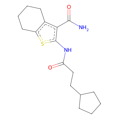 NC(=O)c1c(NC(=O)CCC2CCCC2)sc2c1CCCC2